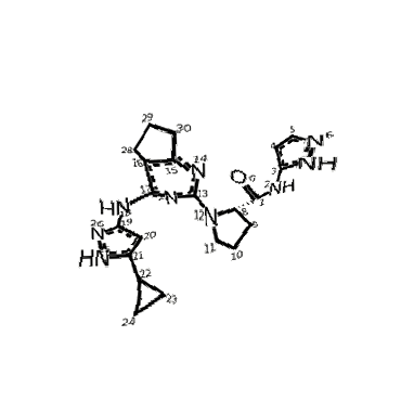 O=C(Nc1ccn[nH]1)[C@@H]1CCCN1c1nc2c(c(Nc3cc(C4CC4)[nH]n3)n1)CCC2